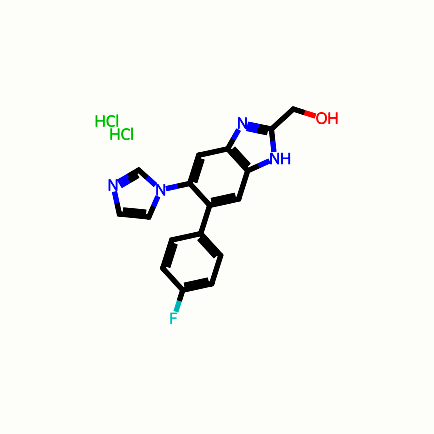 Cl.Cl.OCc1nc2cc(-n3ccnc3)c(-c3ccc(F)cc3)cc2[nH]1